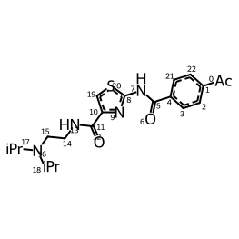 CC(=O)c1ccc(C(=O)Nc2nc(C(=O)NCCN(C(C)C)C(C)C)cs2)cc1